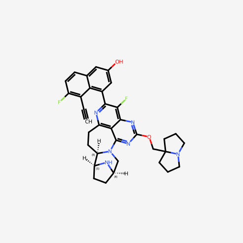 C#Cc1c(F)ccc2cc(O)cc(-c3nc4c5c(nc(OCC67CCCN6CCC7)nc5c3F)N3C[C@H]5CC[C@H](N5)[C@H]3CC4)c12